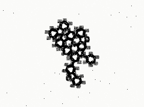 c1ccc(N(c2cccc3c2-c2ccccc2C32c3ccccc3-c3ccccc32)c2c3c(cc4c2c2ccc(-c5ccc6oc7ccccc7c6c5)cc2n4-c2ccccc2)oc2ccccc23)cc1